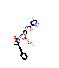 COC(=O)N1C[C@H](NC(=O)[C@@H]2C[C@H](F)CN2)C[C@@H]1CNC(=O)c1cc(C#Cc2ccccc2)cs1